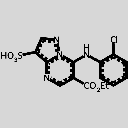 CCOC(=O)c1cnc2c(S(=O)(=O)O)cnn2c1Nc1ccccc1Cl